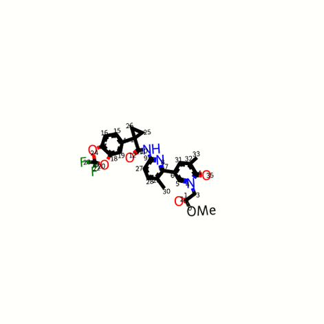 COC(=O)Cn1cc(-c2nc(NC(=O)C3(c4ccc5c(c4)OC(F)(F)O5)CC3)ccc2C)cc(C)c1=O